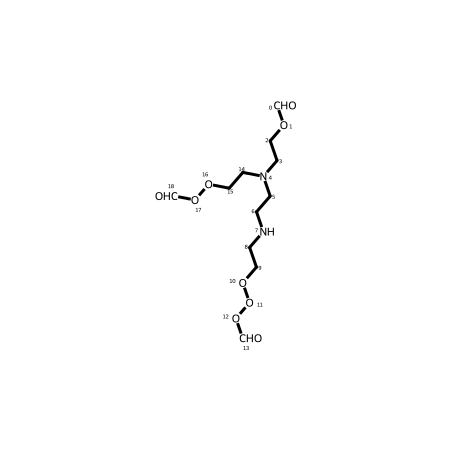 O=COCCN(CCNCCOOOC=O)CCOOC=O